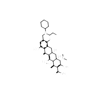 C=C1C(C(N)=O)=C(O)[C@@H](N(C)C)[C@@H]2C[C@@H]3Cc4c(F)c(CN(CCC)C5CCCCC5)cc(O)c4C(=O)C3=C(O)[C@]12O